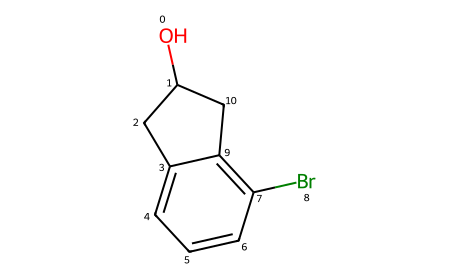 OC1Cc2cccc(Br)c2C1